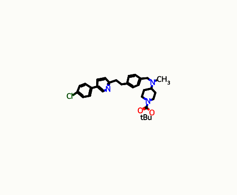 CN(Cc1ccc(CCc2ccc(-c3ccc(Cl)cc3)cn2)cc1)C1CCN(C(=O)OC(C)(C)C)CC1